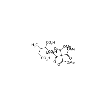 CC(CC(=O)O)C(C(=O)O)C(=O)O.COC(=O)C(C(=O)OC)(C(=O)OC)C(=O)OC